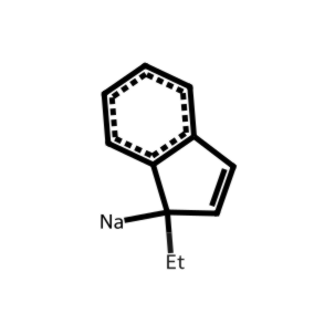 CC[C]1([Na])C=Cc2ccccc21